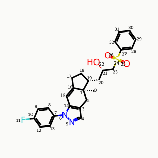 C[C@]12Cc3cnn(-c4ccc(F)cc4)c3C=C1CC[C@@H]2C[C@H](O)CS(=O)(=O)c1ccccc1